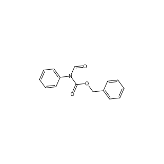 O=CN(C(=O)OCc1ccccc1)c1ccccc1